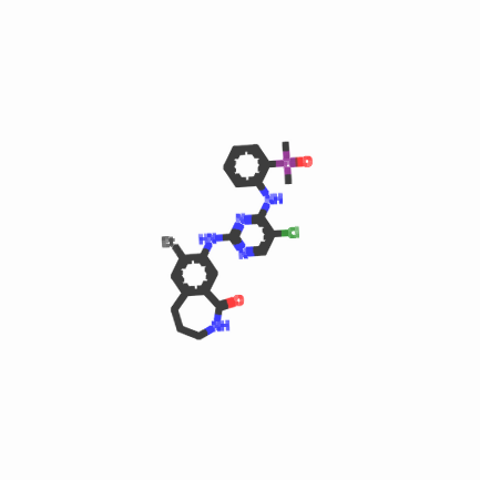 CCc1cc2c(cc1Nc1ncc(Cl)c(Nc3ccccc3P(C)(C)=O)n1)C(=O)NCCC2